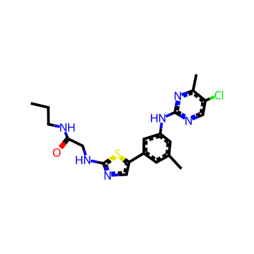 CCCNC(=O)CNc1ncc(-c2cc(C)cc(Nc3ncc(Cl)c(C)n3)c2)s1